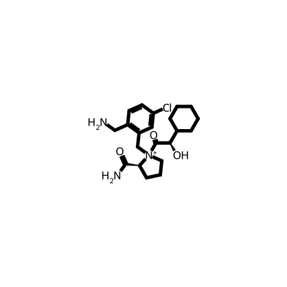 NCc1ccc(Cl)cc1C[N+]1(C(=O)[C@H](O)C2CCCCC2)CCC[C@H]1C(N)=O